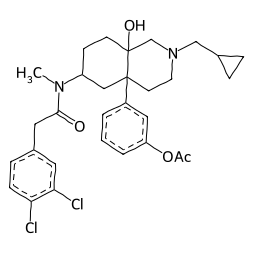 CC(=O)Oc1cccc(C23CCN(CC4CC4)CC2(O)CCC(N(C)C(=O)Cc2ccc(Cl)c(Cl)c2)C3)c1